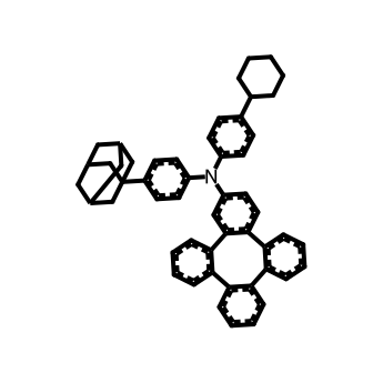 c1ccc2c(c1)-c1ccccc1-c1ccc(N(c3ccc(C4CCCCC4)cc3)c3ccc(C45CC6CC(CC(C6)C4)C5)cc3)cc1-c1ccccc1-2